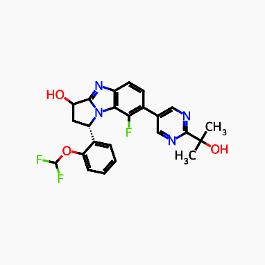 CC(C)(O)c1ncc(-c2ccc3nc4n(c3c2F)[C@H](c2ccccc2OC(F)F)CC4O)cn1